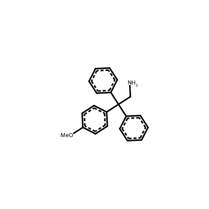 COc1ccc(C(CN)(c2ccccc2)c2ccccc2)cc1